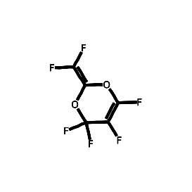 FC(F)=C1OC(F)=C(F)C(F)(F)O1